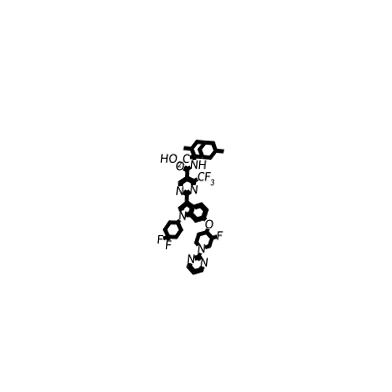 CC1CC2CC(C)C(NC(=O)c3cnc(-c4cn(C5CCC(F)(F)CC5)c5cc(OC6CCN(c7ncccn7)CC6F)ccc45)nc3C(F)(F)F)(C(=O)O)C(C1)C2